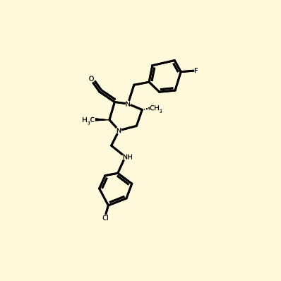 C[C@@H]1CN(CNc2ccc(Cl)cc2)[C@@H](C)C(=C=O)N1Cc1ccc(F)cc1